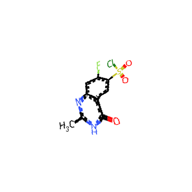 Cc1nc2cc(F)c(S(=O)(=O)Cl)cc2c(=O)[nH]1